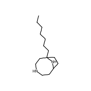 CCCCCCCC12CCNCCC(CC1)N2